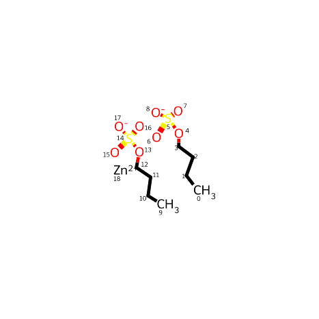 CCCCOS(=O)(=O)[O-].CCCCOS(=O)(=O)[O-].[Zn+2]